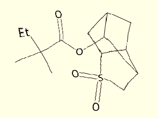 CCC(C)(C)C(=O)OC1C2CC3C1CS(=O)(=O)C3C2